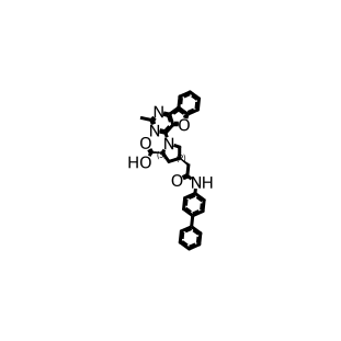 Cc1nc(N2C[C@@H](CC(=O)Nc3ccc(-c4ccccc4)cc3)C[C@H]2C(=O)O)c2oc3ccccc3c2n1